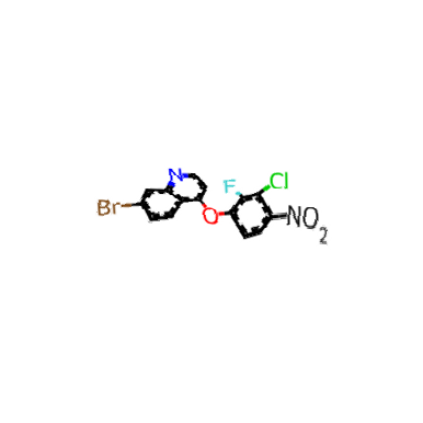 O=[N+]([O-])c1ccc(Oc2ccnc3cc(Br)ccc23)c(F)c1Cl